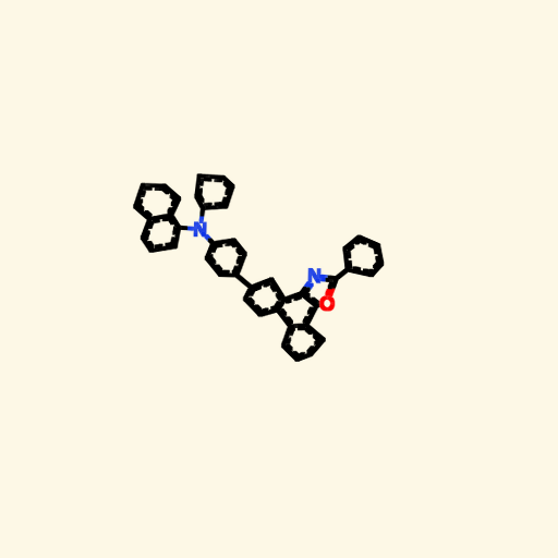 c1ccc(-c2nc3c4cc(-c5ccc(N(c6ccccc6)c6cccc7ccccc67)cc5)ccc4c4ccccc4c3o2)cc1